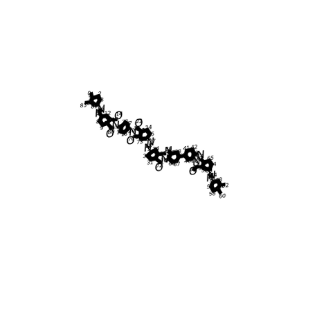 Cc1ccc(N=Nc2ccc3c(c2)C(=O)N(c2ccc(N4C(=O)c5ccc(N=Nc6ccc7c(c6)-c6nc8cc(-c9ccc%10nc%11n(c%10c9)C(=O)c9cc(N=Nc%10ccc(C)c(C)c%10)ccc9-%11)ccc8n6C7=O)cc5C4=O)cc2)C3=O)cc1C